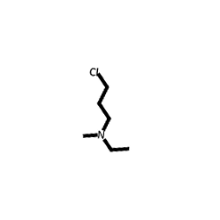 CCN(C)CCCCl